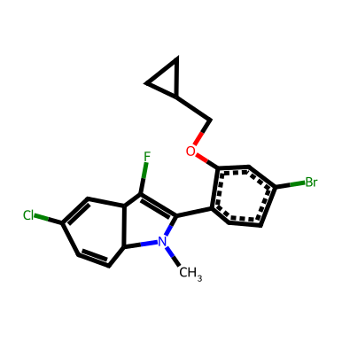 CN1C(c2ccc(Br)cc2OCC2CC2)=C(F)C2C=C(Cl)C=CC21